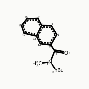 CCCCN(C)C(=O)c1ccc2ccccc2c1